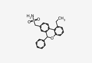 CCc1cccc2c1-c1ccc(CS(N)(=O)=O)cc1C(c1ccccc1)O2